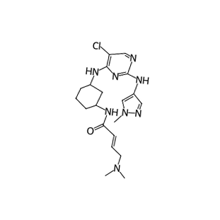 CN(C)C/C=C/C(=O)NC1CCCC(Nc2nc(Nc3cnn(C)c3)ncc2Cl)C1